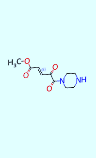 COC(=O)/C=C/C(=O)C(=O)N1CCNCC1